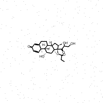 CCC(=O)O[C@]1(C(=O)C(O)CO)[C@H](C)C[C@H]2[C@@H]3CCC4=CC(=O)C=C[C@]4(C)[C@@]3(F)[C@@H](O)C[C@@]21C